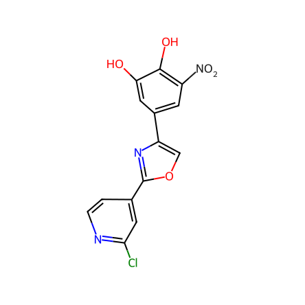 O=[N+]([O-])c1cc(-c2coc(-c3ccnc(Cl)c3)n2)cc(O)c1O